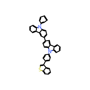 c1ccc(-n2c3ccccc3c3cc(-c4ccc5c(c4)c4ccccc4n5-c4ccc(-c5csc6ccccc56)cc4)ccc32)cc1